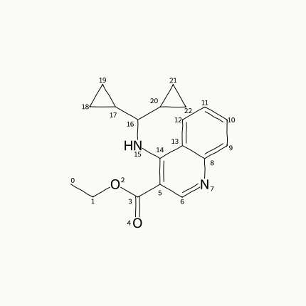 CCOC(=O)c1cnc2ccccc2c1NC(C1CC1)C1CC1